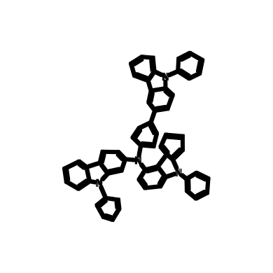 c1ccc(-n2c3ccccc3c3cc(-c4ccc(N(c5ccc6c7ccccc7n(-c7ccccc7)c6c5)c5cccc6c5c5ccccc5n6-c5ccccc5)cc4)ccc32)cc1